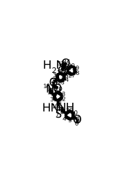 COc1ccc(C(=S)NC(=N)c2cccc(CN(C)C(=O)Oc3ccc(-c4ccccc4S(N)(=O)=O)cc3)c2)cc1